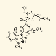 CCO[C@@H]1CC(CO)N(C(=O)c2cc(OC)c3oc(NC(C)c4cc(Cl)ccn4)nc3c2)C1